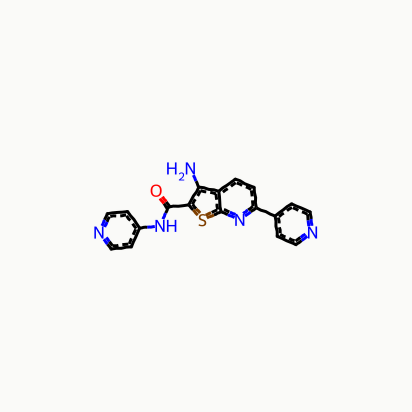 Nc1c(C(=O)Nc2ccncc2)sc2nc(-c3ccncc3)ccc12